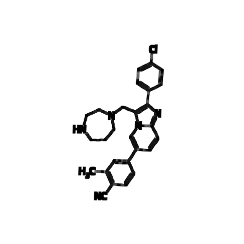 Cc1cc(-c2ccc3nc(-c4ccc(Cl)cc4)c(CN4CCCNCC4)n3c2)ccc1C#N